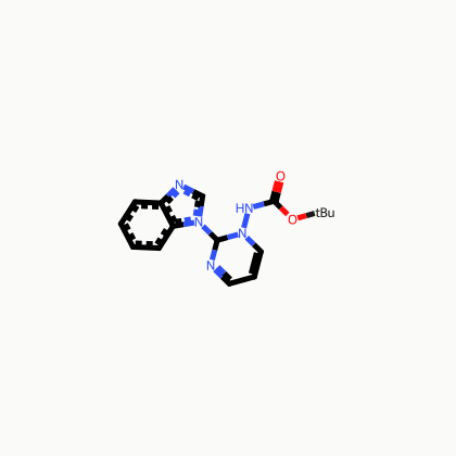 CC(C)(C)OC(=O)NN1C=CC=NC1n1cnc2ccccc21